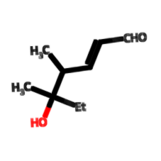 CCC(C)(O)C(C)C=CC=O